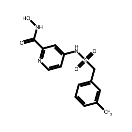 O=C(NO)c1cc(NS(=O)(=O)Cc2cccc(C(F)(F)F)c2)ccn1